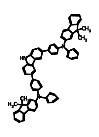 CC1(C)c2ccccc2-c2ccc(N(c3ccccc3)c3ccc(-c4ccc5[nH]c6ccc(-c7ccc(N(c8ccccc8)c8ccc9c(c8)C(C)(C)c8ccccc8-9)cc7)cc6c5c4)cc3)cc21